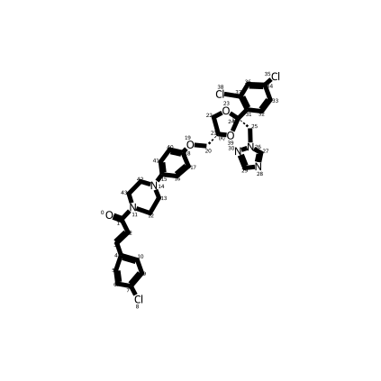 O=C(C=Cc1ccc(Cl)cc1)N1CCN(c2ccc(OC[C@@H]3CO[C@@](Cn4cncn4)(c4ccc(Cl)cc4Cl)O3)cc2)CC1